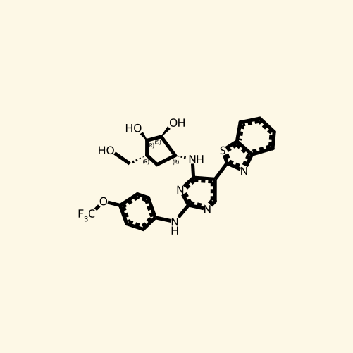 OC[C@H]1C[C@@H](Nc2nc(Nc3ccc(OC(F)(F)F)cc3)ncc2-c2nc3ccccc3s2)[C@H](O)[C@@H]1O